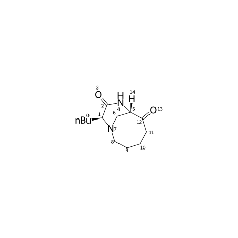 CCCC[C@H]1C(=O)N[C@H]2CN1CCCCC2=O